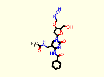 [N-]=[N+]=NCOC1CC(n2cc(CNC(=O)C(F)(F)F)c(NC(=O)c3ccccc3)nc2=O)OC1CO